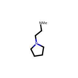 CNCCN1C[CH]CC1